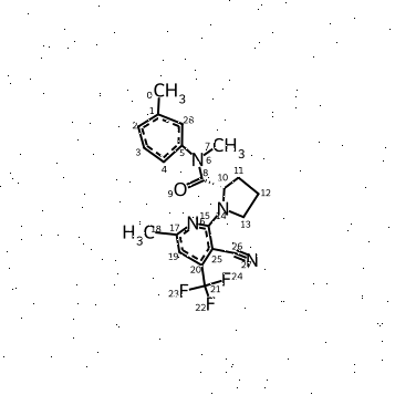 Cc1cccc(N(C)C(=O)[C@@H]2CCCN2c2nc(C)cc(C(F)(F)F)c2C#N)c1